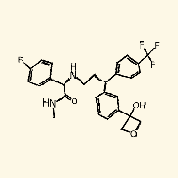 CNC(=O)[C@H](NCC[C@@H](c1ccc(C(F)(F)F)cc1)c1cccc(C2(O)COC2)c1)c1ccc(F)cc1